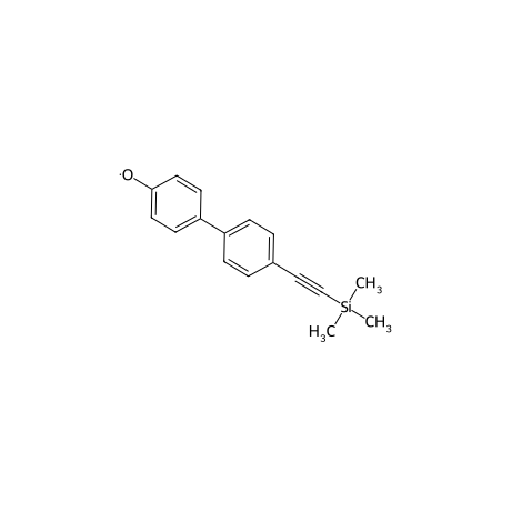 C[Si](C)(C)C#Cc1ccc(-c2ccc([O])cc2)cc1